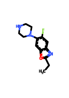 CCc1nc2cc(F)c(N3CCNCC3)cc2o1